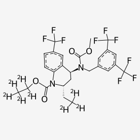 [2H]C([2H])([2H])C[C@H]1C[C@H](N(Cc2cc(C(F)(F)F)cc(C(F)(F)F)c2)C(=O)OC)c2cc(C(F)(F)F)ccc2N1C(=O)OC([2H])([2H])C([2H])([2H])[2H]